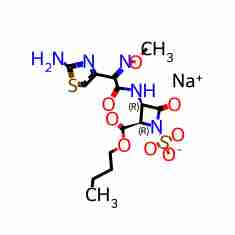 CCCCOC(=O)[C@H]1[C@@H](NC(=O)C(=NOC)c2csc(N)n2)C(=O)N1S(=O)(=O)[O-].[Na+]